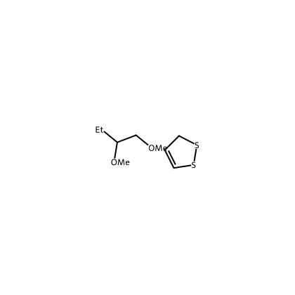 C1=CSSC1.CCC(COC)OC